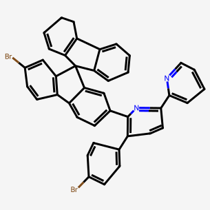 Brc1ccc(-c2ccc(-c3ccccn3)nc2-c2ccc3c(c2)C2(C4=C(CCC=C4)c4ccccc42)c2cc(Br)ccc2-3)cc1